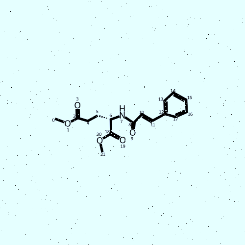 COC(=O)CC[C@H](NC(=O)C=Cc1ccccc1)C(=O)OC